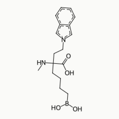 CNC(CCCCB(O)O)(CCn1cc2ccccc2c1)C(=O)O